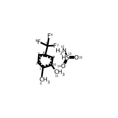 Cc1ccc(C(F)(F)F)cc1C.N[SH](=O)=O